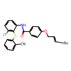 CCCC/C=C/COc1ccc(C(=O)Nc2cccc(Cl)c2Sc2ccccc2C#N)cc1